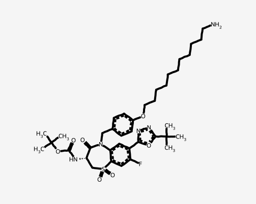 CC(C)(C)OC(=O)N[C@H]1CS(=O)(=O)c2cc(F)c(-c3nnc(C(C)(C)C)o3)cc2N(Cc2ccc(OCCCCCCCCCCCN)cc2)C1=O